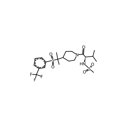 CC(C)[C@@H](NS(C)(=O)=O)C(=O)N1CCC(C(C)(C)S(=O)(=O)c2cccc(C(F)(F)F)c2)CC1